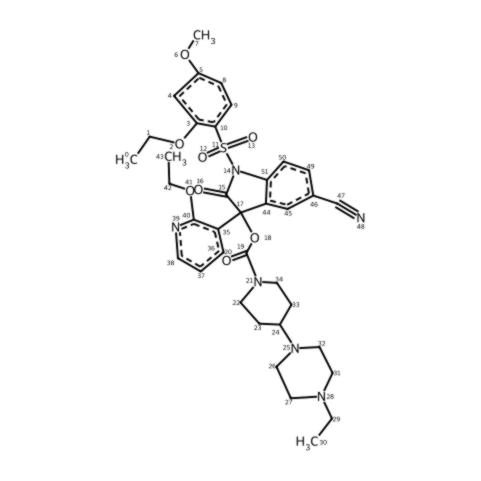 CCOc1cc(OC)ccc1S(=O)(=O)N1C(=O)C(OC(=O)N2CCC(N3CCN(CC)CC3)CC2)(c2cccnc2OCC)c2cc(C#N)ccc21